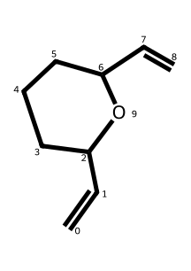 C=CC1CCCC(C=C)O1